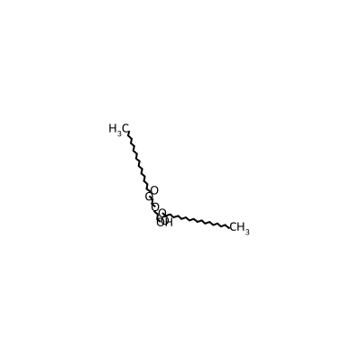 CCCCCCCCCCCCCCCCCC(=O)OCCOCC(CO)OC(=O)CCCCCCCCCCCCCCCCC